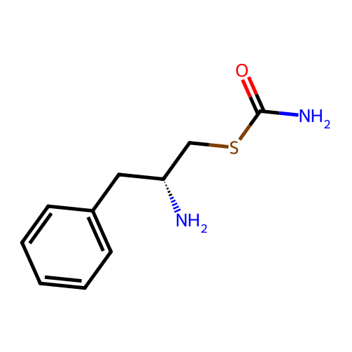 NC(=O)SC[C@H](N)Cc1ccccc1